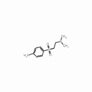 CN(C)CCS(=O)(=O)c1ccc(N)cc1